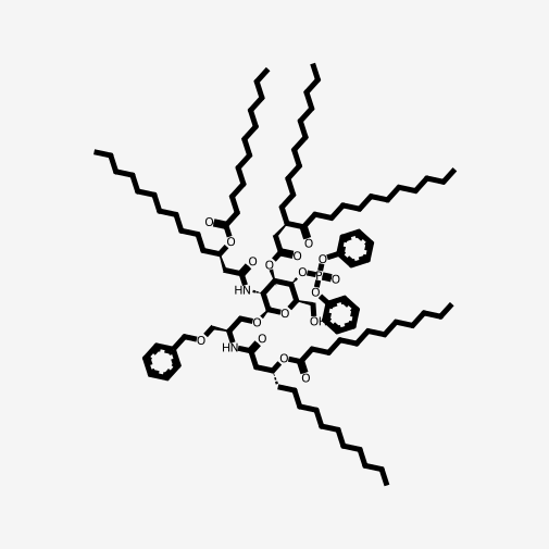 CCCCCCCCCCCC(=O)O[C@H](CCCCCCCCCCC)CC(=O)N[C@@H](COCc1ccccc1)CO[C@@H]1O[C@H](CO)[C@@H](OP(=O)(Oc2ccccc2)Oc2ccccc2)[C@H](OC(=O)C[C@@H](CCCCCCCCCCC)C(=O)CCCCCCCCCCC)[C@H]1NC(=O)C[C@@H](CCCCCCCCCCC)OC(=O)CCCCCCCCCCC